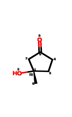 C[C@]1(O)CCC(=O)C1